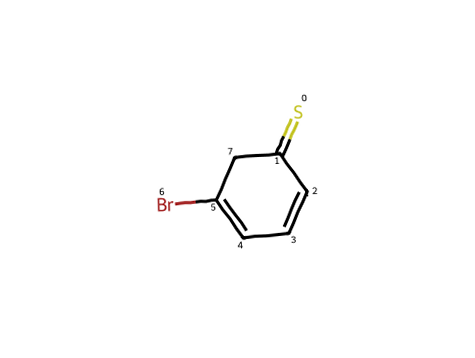 S=C1[C]=CC=C(Br)C1